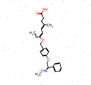 C=N/C(=C\C=C(/C)CCC(=O)O)OCc1ccc(OC/C(=N\OC)c2ccccc2)cc1